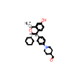 C[C@H]1O[C@@H](C2CCCCC2)[C@H](c2ccc(N3CCC(C=O)CC3)cc2)c2ccc(O)cc21